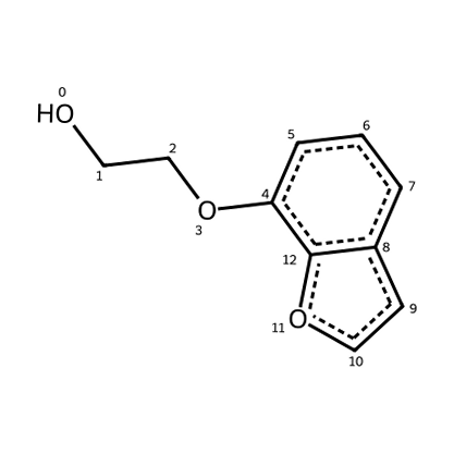 OCCOc1cccc2ccoc12